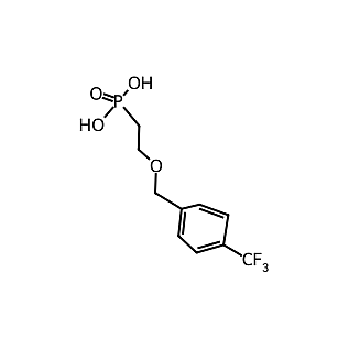 O=P(O)(O)CCOCc1ccc(C(F)(F)F)cc1